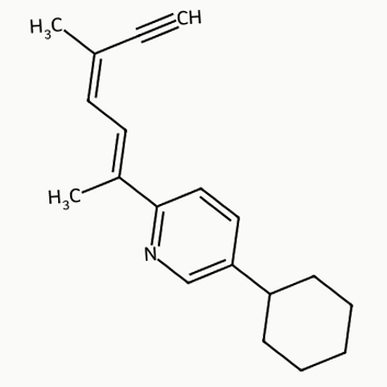 C#C/C(C)=C\C=C(/C)c1ccc(C2CCCCC2)cn1